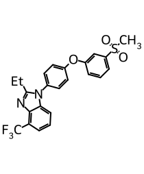 CCc1nc2c(C(F)(F)F)cccc2n1-c1ccc(Oc2cccc(S(C)(=O)=O)c2)cc1